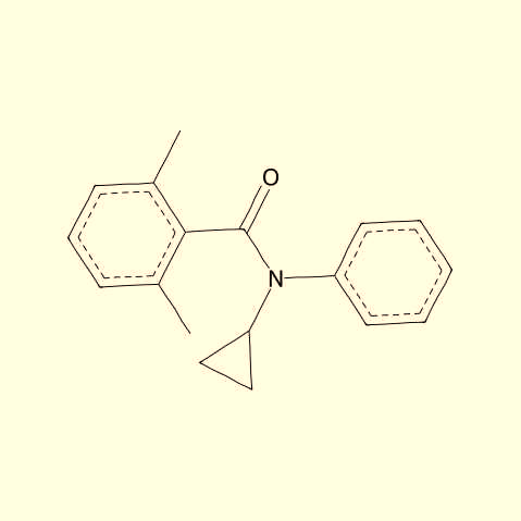 Cc1cccc(C)c1C(=O)N(c1ccccc1)C1CC1